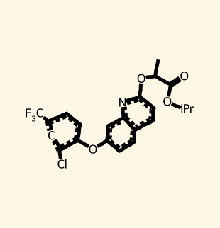 CC(C)OC(=O)C(C)Oc1ccc2ccc(Oc3ccc(C(F)(F)F)cc3Cl)cc2n1